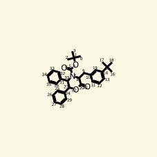 CC(C)(C)OC(=O)N1C(Cc2cccc(C(C)(C)C)c2)C(=O)OC(c2ccccc2)C1c1ccccc1